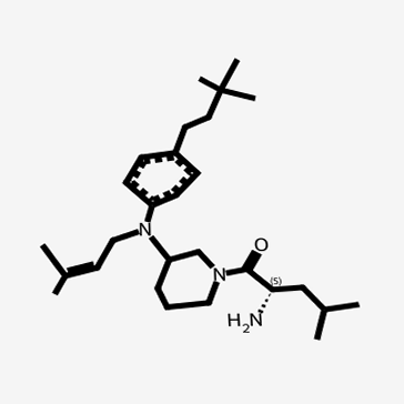 CC(C)=CCN(c1ccc(CCC(C)(C)C)cc1)C1CCCN(C(=O)[C@@H](N)CC(C)C)C1